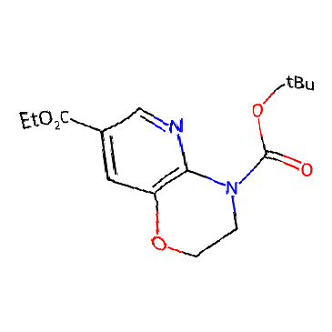 CCOC(=O)c1cnc2c(c1)OCCN2C(=O)OC(C)(C)C